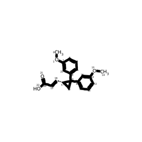 COc1cccc(C2(c3cccc(OC)c3)C[C@@H]2/C=C/C(=O)O)c1